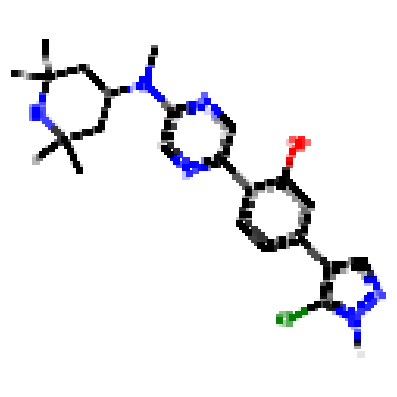 CN(c1cnc(-c2ccc(-c3cnn(C)c3Cl)cc2O)cn1)C1CC(C)(C)NC(C)(C)C1